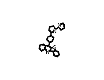 c1ccc(-c2cccc(-c3ccc(-c4c5ccccc5nc5c4sc4ccccc45)cc3)n2)nc1